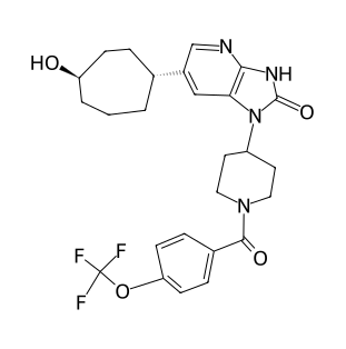 O=C(c1ccc(OC(F)(F)F)cc1)N1CCC(n2c(=O)[nH]c3ncc([C@@H]4CCC[C@@H](O)CC4)cc32)CC1